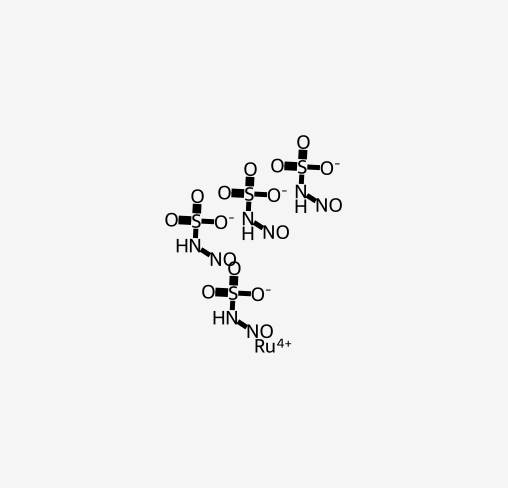 O=NNS(=O)(=O)[O-].O=NNS(=O)(=O)[O-].O=NNS(=O)(=O)[O-].O=NNS(=O)(=O)[O-].[Ru+4]